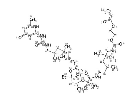 C=CC(=O)OCCOC(=O)NCC(C)(C)CC(C)CCNC(=O)C(N)(CC)OC(C)CC(C)(CC)OC(=O)NCCC(C)(C)CC(C)CNC(=O)Nc1nc(=O)cc(C)[nH]1